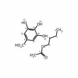 CCCCOC(C)=O.O=C(O)c1cc(O)c(O)c(O)c1